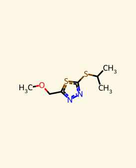 COCc1nnc(SC(C)C)s1